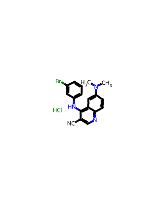 CN(C)c1ccc2ncc(C#N)c(Nc3cccc(Br)c3)c2c1.Cl